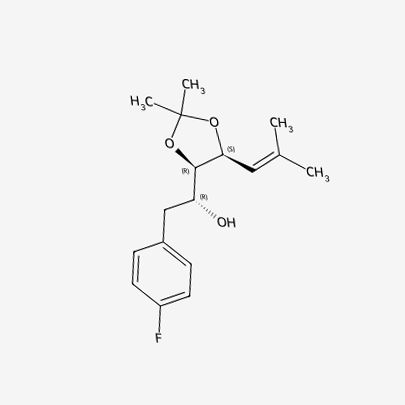 CC(C)=C[C@@H]1OC(C)(C)O[C@@H]1[C@H](O)Cc1ccc(F)cc1